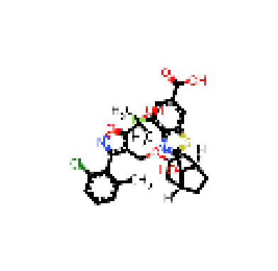 Cc1cccc(Cl)c1-c1noc(C(C)(C)O)c1CO[C@@H]1C[C@H]2CC[C@@H](C1)[C@]2(O)c1nc2c(F)cc(C(=O)O)cc2s1